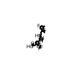 Cc1sc2c(C)cc(F)cc2c1CCNc1cc(-c2ccc(CC(=O)O)c(OC(F)(F)F)c2)ncn1